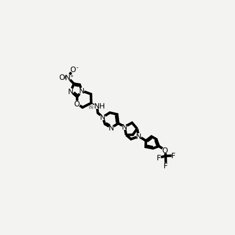 O=[N+]([O-])c1cn2c(n1)OC[C@@H](NCN1C=NC(N3CC4CC3CN4c3ccc(OC(F)(F)F)cc3)=CC1)C2